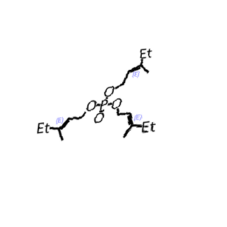 CC/C(C)=C/COP(=O)(OC/C=C(\C)CC)OC/C=C(\C)CC